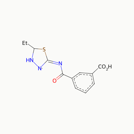 CCC1N[N]C(=NC(=O)c2cccc(C(=O)O)c2)S1